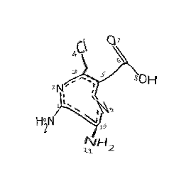 Nc1nc(Cl)c(C(=O)O)nc1N